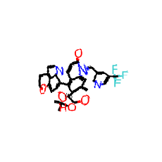 Cc1cc2c(ccc(=O)n2Cc2cncc(C(F)(F)F)c2)c(-c2ccc3c4c(ccnc24)CCO3)c1[C@H](OC(C)(C)C)C(=O)O